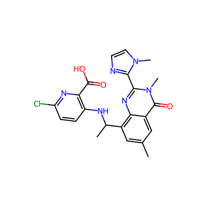 Cc1cc(C(C)Nc2ccc(Cl)nc2C(=O)O)c2nc(-c3nccn3C)n(C)c(=O)c2c1